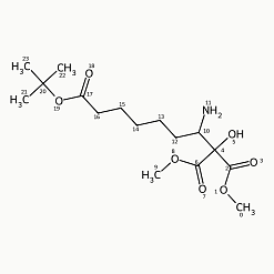 COC(=O)C(O)(C(=O)OC)C(N)CCCCCC(=O)OC(C)(C)C